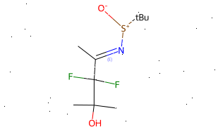 C/C(=N\[S+]([O-])C(C)(C)C)C(F)(F)C(C)(C)O